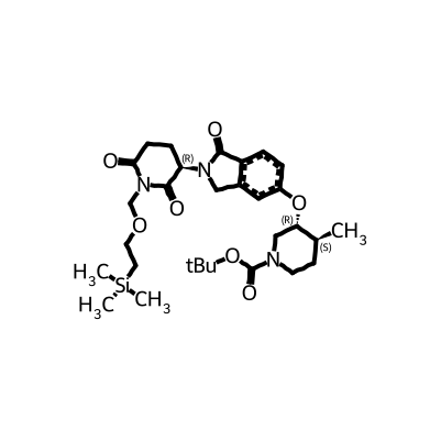 C[C@H]1CCN(C(=O)OC(C)(C)C)C[C@@H]1Oc1ccc2c(c1)CN([C@@H]1CCC(=O)N(COCC[Si](C)(C)C)C1=O)C2=O